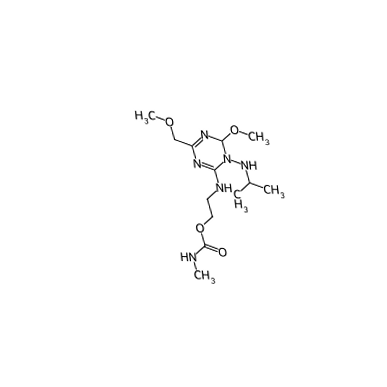 CNC(=O)OCCNC1=NC(COC)=NC(OC)N1NC(C)C